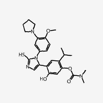 COc1ccc(-n2c(-c3cc(C(C)C)c(OC(=O)N(C)C)cc3O)cnc2S)cc1N1CCCC1